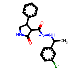 CC(NNC(=O)C1C(=O)NCC1c1ccccc1)c1cccc(Br)c1